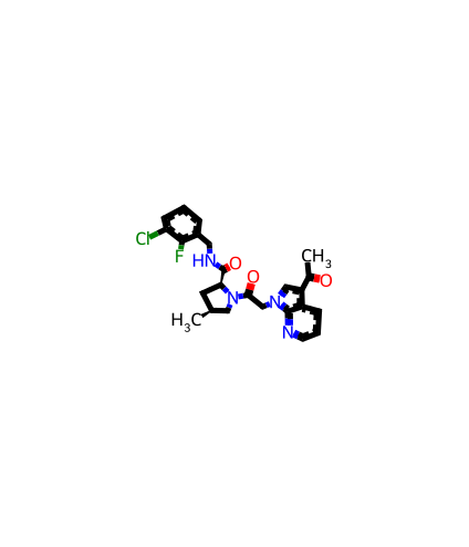 CC(=O)c1cn(CC(=O)N2C[C@@H](C)C[C@H]2C(=O)NCc2cccc(Cl)c2F)c2ncccc12